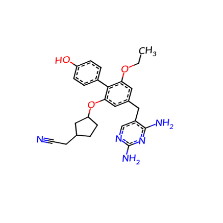 CCOc1cc(Cc2cnc(N)nc2N)cc(OC2CCC(CC#N)C2)c1-c1ccc(O)cc1